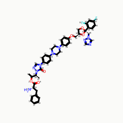 CC(OC(=O)[C@@H](N)Cc1ccccc1)[C@H](C)n1ncn(-c2ccc(N3CCN(c4ccc(OC[C@H]5CO[C@@](Cn6cncn6)(c6ccc(F)cc6F)O5)cc4)CC3)cc2)c1=O